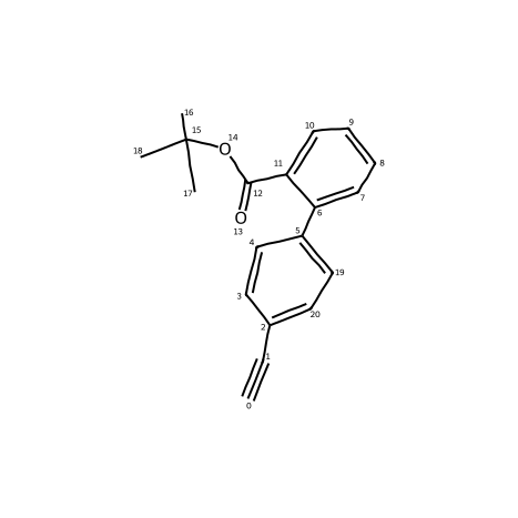 C#Cc1ccc(-c2ccccc2C(=O)OC(C)(C)C)cc1